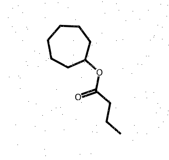 CCCC(=O)OC1CCCCCC1